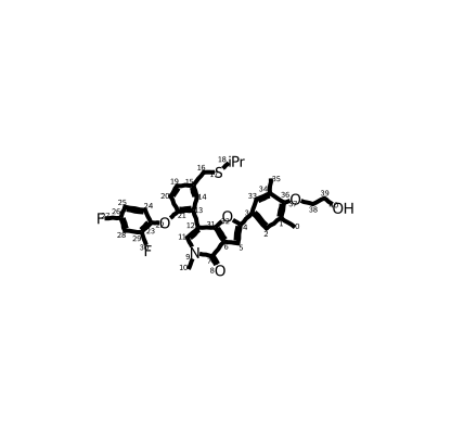 Cc1cc(-c2cc3c(=O)n(C)cc(-c4cc(CSC(C)C)ccc4Oc4ccc(F)cc4F)c3o2)cc(C)c1OCCO